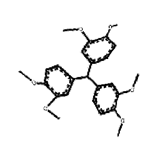 COc1ccc(C(c2ccc(OC)c(OC)c2)c2ccc(OC)c(OC)c2)cc1OC